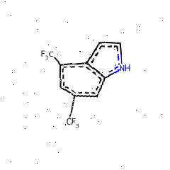 FC(F)(F)c1cc(C(F)(F)F)c2cc[nH]c2c1